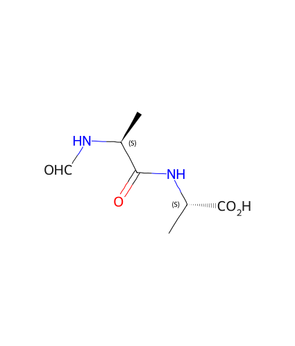 C[C@H](NC(=O)[C@H](C)NC=O)C(=O)O